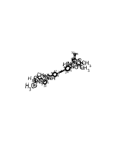 COC(=O)N[C@H](C(=O)N1CCC[C@H]1c1ncc(-c2ccc(C#Cc3ccc4nc([C@@H]5C[C@H](C6CC6)CN5C(=O)[C@@H](C)C(C)C)[nH]c4c3)cc2)[nH]1)C(C)C